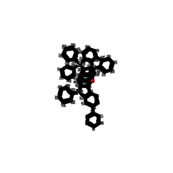 c1ccc(-c2ccc3c4cc(-n5c6ccccc6c6cccc([Si](c7ccccc7)(c7ccccc7)c7ccccc7)c65)ccc4n(-c4ccccc4)c3c2)cc1